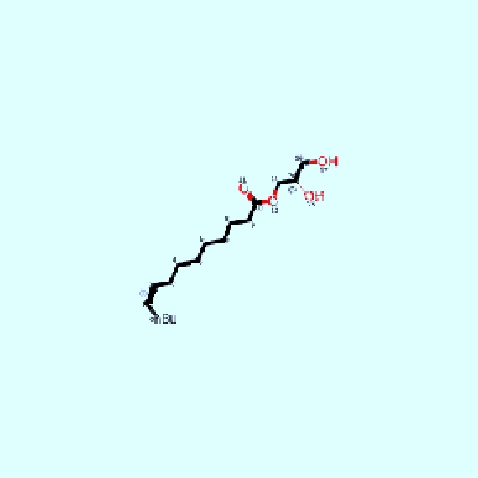 CCCC/C=C\CCCCCCCC(=O)OC[C@@H](O)CO